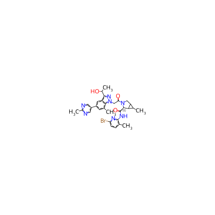 Cc1ncc(-c2cc(C)c3c(c2)c(C(C)O)nn3CC(=O)N2CC3C(C)C3[C@H]2C(=O)Nc2nc(Br)ccc2C)cn1